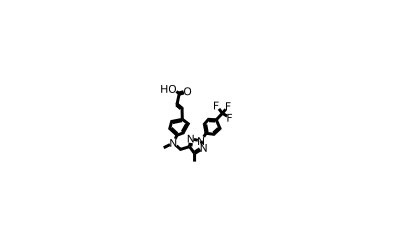 Cc1nn(-c2ccc(C(F)(F)F)cc2)nc1CN(C)c1ccc(/C=C/C(=O)O)cc1